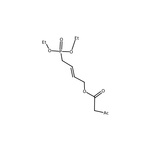 CCOP(=O)(C/C=C/COC(=O)CC(C)=O)OCC